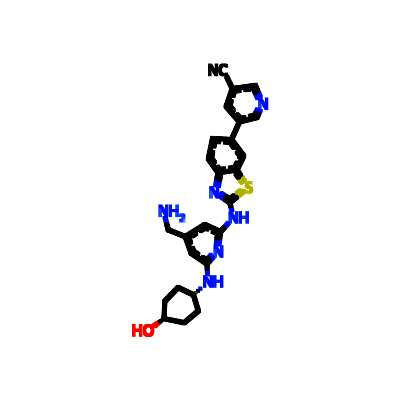 N#Cc1cncc(-c2ccc3nc(Nc4cc(CN)cc(N[C@H]5CC[C@H](O)CC5)n4)sc3c2)c1